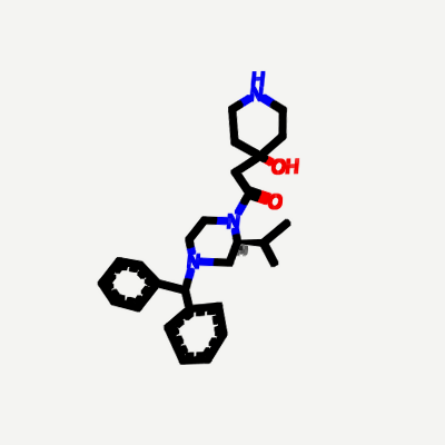 CC(C)[C@H]1CN(C(c2ccccc2)c2ccccc2)CCN1C(=O)CC1(O)CCNCC1